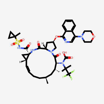 C[C@H]1CC/C=C\[C@@H]2C[C@@]2(C(=O)NS(=O)(=O)C2(C)CC2)NC(=O)[C@@H]2C[C@@H](Oc3ncc(N4CCOCC4)c4ccccc34)CN2C(=O)[C@@H](N(C(=O)O)C(C)(C)C(F)(F)F)[C@H](C)C1